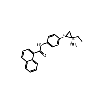 CC[C@]1(N)C[C@H]1c1ccc(NC(=O)c2cccc3ccccc23)cc1